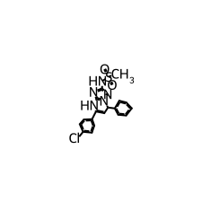 CS(=O)(=O)Nc1nc2n(n1)C(c1ccccc1)C=C(c1ccc(Cl)cc1)N2